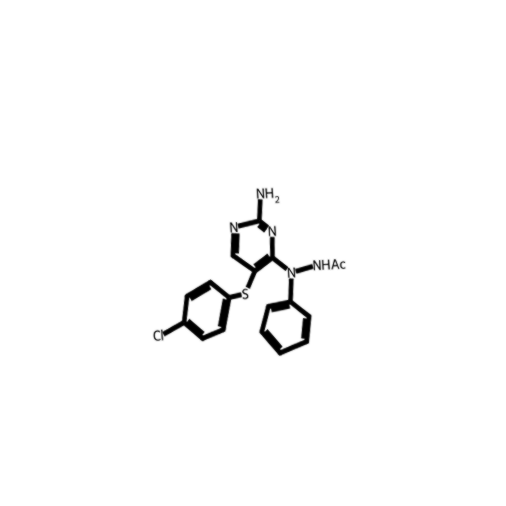 CC(=O)NN(c1ccccc1)c1nc(N)ncc1Sc1ccc(Cl)cc1